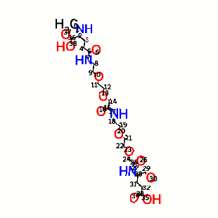 CN[C@@H](CCC(=O)NCCOCCOCC(=O)NCCOCCOCC(=O)NC(C=O)CCC(=O)O)C(=O)O